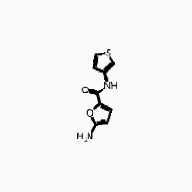 Nc1ccc(C(=O)Nc2ccsc2)o1